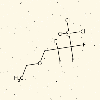 CCOCC(F)(F)C(F)(F)[Si](Cl)(Cl)Cl